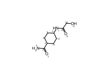 NC(=O)C1CCC(NC(=O)CO)CC1